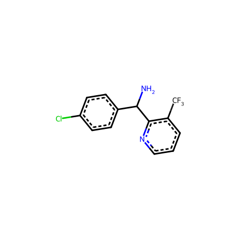 NC(c1ccc(Cl)cc1)c1ncccc1C(F)(F)F